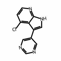 Clc1ccnc2[nH]cc(-c3cncnc3)c12